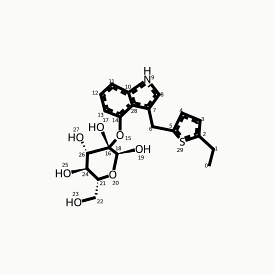 CCc1ccc(Cc2c[nH]c3cccc(O[C@]4(O)[C@@H](O)O[C@H](CO)[C@@H](O)[C@@H]4O)c23)s1